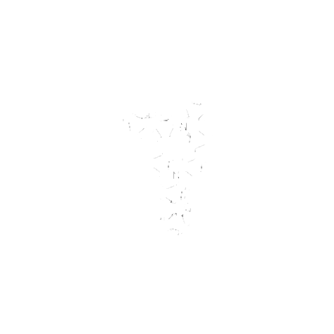 c1ccc(N(c2cccc(-c3ccc4c5ccccc5n(-c5ccc6c(c5)oc5ccccc56)c4c3)c2)c2ccc3c(c2)oc2ccccc23)cc1